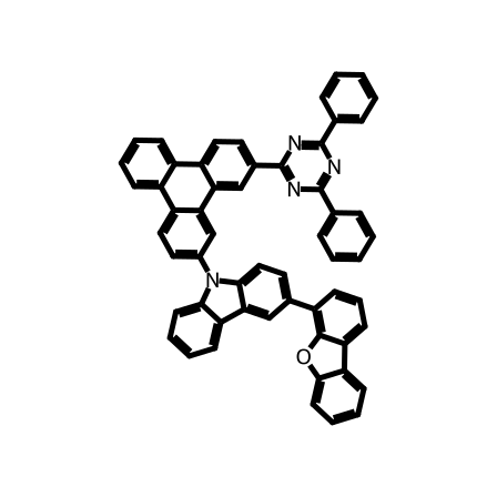 c1ccc(-c2nc(-c3ccccc3)nc(-c3ccc4c5ccccc5c5ccc(-n6c7ccccc7c7cc(-c8cccc9c8oc8ccccc89)ccc76)cc5c4c3)n2)cc1